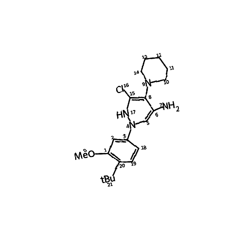 COc1cc(N2C=C(N)C(N3CCCCC3)=C(Cl)N2)ccc1C(C)(C)C